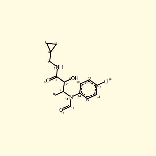 CC(C(O)C(=O)NCC1CC1)N(C=O)c1ccc(Cl)cc1